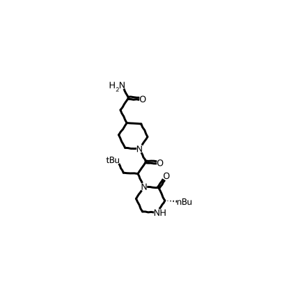 CCCC[C@@H]1NCCN(C(CC(C)(C)C)C(=O)N2CCC(CC(N)=O)CC2)C1=O